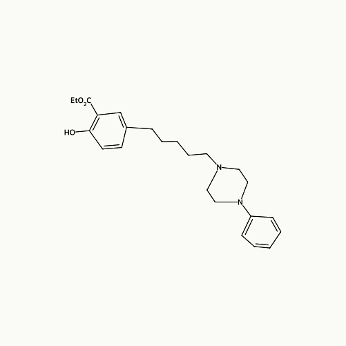 CCOC(=O)c1cc(CCCCCN2CCN(c3ccccc3)CC2)ccc1O